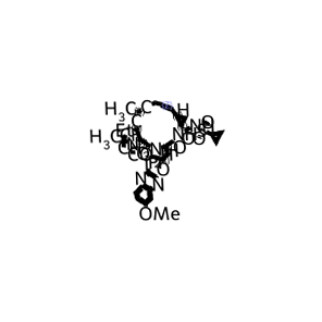 CC[C@@H]1C[C@H](C)CC/C=C\[C@@H]2C[C@@]2(C(=O)NS(=O)(=O)C2CC2)NC(=O)[C@@H]2C[C@@H](Oc3nc4cc(OC)ccc4nc3C(C)C)CN2C(=O)[C@H]1N(C(=O)O)C(C)(C)C(F)(F)F